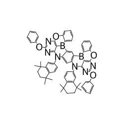 CC1(C)CCC(C)(C)c2cc(N3c4cc5c(cc4B4c6ccccc6Oc6nc(Oc7ccccc7)nc3c64)B3c4ccccc4Oc4nc(Oc6ccccc6)nc(c43)N5c3ccc4c(c3)C(C)(C)CCC4(C)C)ccc21